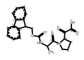 CC(NC(=O)OCC1c2ccccc2-c2ccccc21)C(=O)N1CCCC1C(=O)C(=O)O